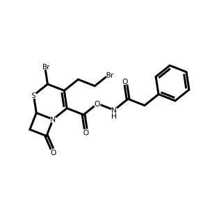 O=C(Cc1ccccc1)NOC(=O)C1=C(CCBr)C(Br)SC2CC(=O)N12